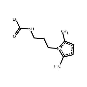 CCC(=O)NCCCn1c(C)ccc1C